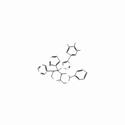 CO[C@@]1(c2cncnc2)[C@@H](S)O[C@@]2(Cl)COC(c3ccccc3)O[C@@H]2C1(c1cccnc1)n1cc(-c2cc(F)c(F)c(F)c2)nn1